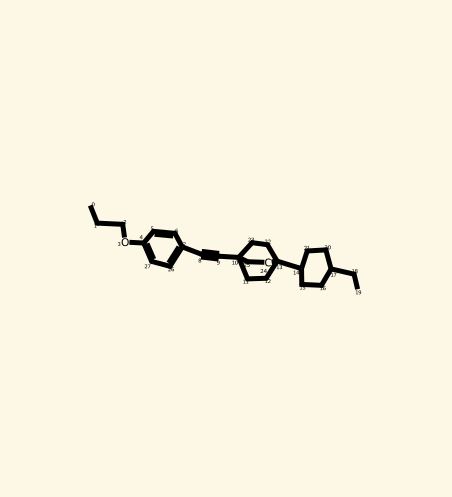 CCCOc1ccc(C#CC23CCC(C4CCC(CC)CC4)(CC2)CC3)cc1